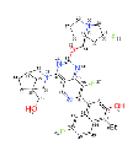 CCc1c(O)cc(-c2ncc3c(N4CC5CCC(CO)(C5)C4)nc(OC[C@@]45CCCN4C[C@H](F)C5)nc3c2F)c2cc(F)ccc12